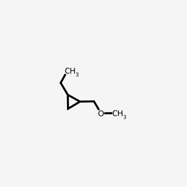 CCC1CC1COC